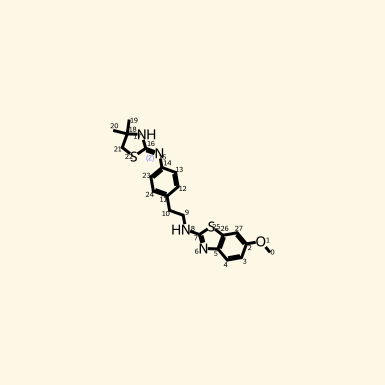 COc1ccc2nc(NCCc3ccc(/N=C4/NC(C)(C)CS4)cc3)sc2c1